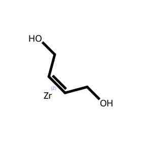 OC/C=C\CO.[Zr]